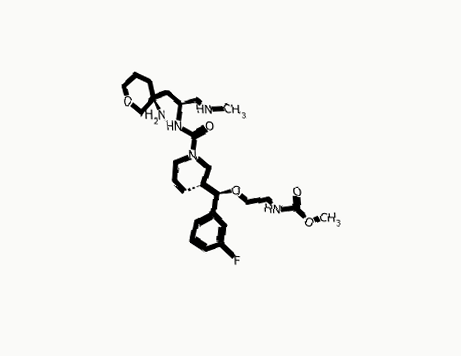 CNC[C@H](C[C@@]1(N)CCCOC1)NC(=O)N1CCC[C@@H]([C@@H](OCCNC(=O)OC)c2cccc(F)c2)C1